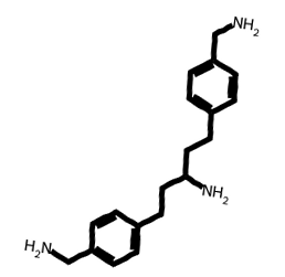 NCc1ccc(CCC(N)CCc2ccc(CN)cc2)cc1